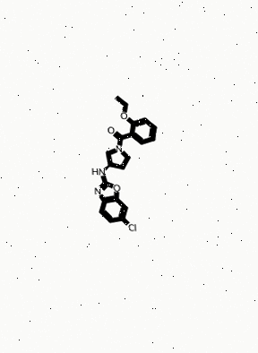 CCOc1ccccc1C(=O)N1CC[C@@H](Nc2nc3ccc(Cl)cc3o2)C1